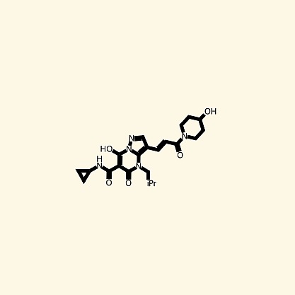 CC(C)Cn1c(=O)c(C(=O)NC2CC2)c(O)n2ncc(C=CC(=O)N3CCC(O)CC3)c12